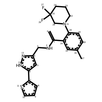 C=C(NCc1cc(-c2cccs2)[nH]n1)c1cc(C)ccc1N1CCCC(F)(F)C1